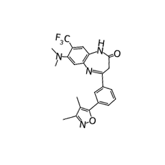 Cc1noc(-c2cccc(C3=Nc4cc(N(C)C)c(C(F)(F)F)cc4NC(=O)C3)c2)c1C